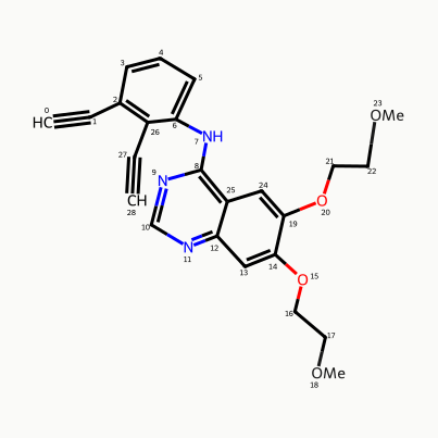 C#Cc1cccc(Nc2ncnc3cc(OCCOC)c(OCCOC)cc23)c1C#C